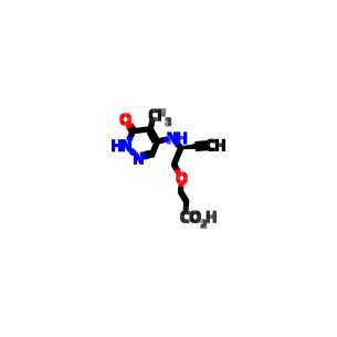 C#C[C@@H](COCCC(=O)O)Nc1cn[nH]c(=O)c1C(F)(F)F